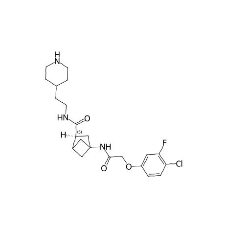 O=C(COc1ccc(Cl)c(F)c1)NC12CC(C1)[C@@H](C(=O)NCCC1CCNCC1)C2